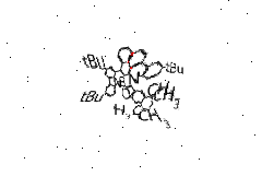 CC(C)(C)c1ccc(N2c3cc4ccccc4c4c3B(c3oc5cc6c(cc5c32)C(C)(C)CCC6(C)C)n2c3ccc(C(C)(C)C)cc3c3cc(C(C)(C)C)cc-4c32)c(-c2ccccc2)c1